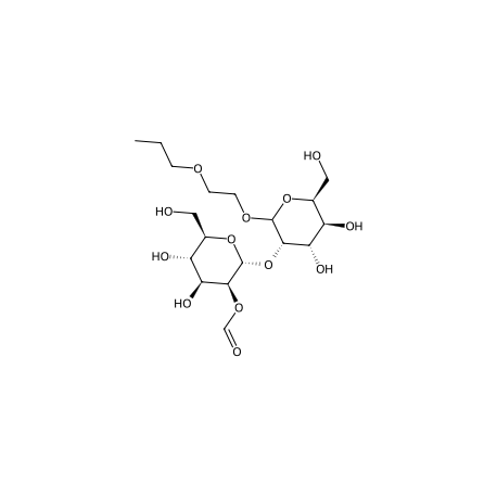 CCCOCCOC1O[C@@H](CO)[C@@H](O)[C@H](O)[C@@H]1O[C@H]1O[C@H](CO)[C@@H](O)[C@H](O)[C@@H]1OC=O